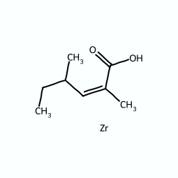 CCC(C)C=C(C)C(=O)O.[Zr]